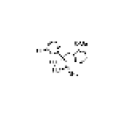 COc1ccccc1CC(C)(C[C@H](N)O)c1cccc(Cl)c1